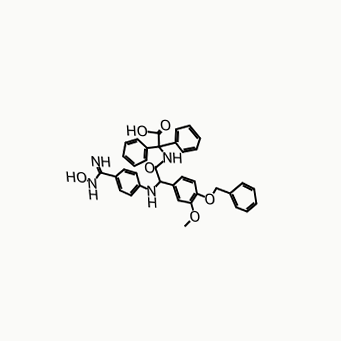 COc1cc(C(Nc2ccc(C(=N)NO)cc2)C(=O)NC(C(=O)O)(c2ccccc2)c2ccccc2)ccc1OCc1ccccc1